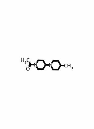 CC(=O)N1CCC(N2CCC(C)CC2)CC1